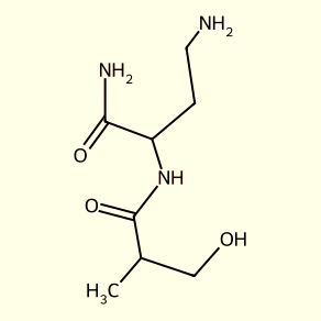 CC(CO)C(=O)NC(CCN)C(N)=O